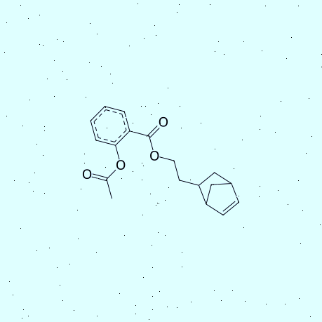 CC(=O)Oc1ccccc1C(=O)OCCC1CC2C=CC1C2